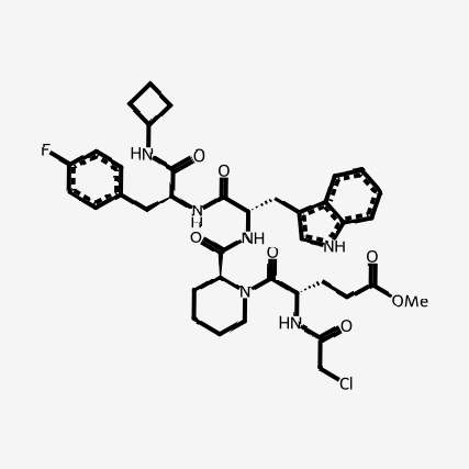 COC(=O)CC[C@H](NC(=O)CCl)C(=O)N1CCCC[C@H]1C(=O)N[C@@H](Cc1c[nH]c2ccccc12)C(=O)N[C@@H](Cc1ccc(F)cc1)C(=O)NC1CCC1